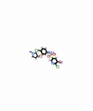 CN1CC[C@@H](Oc2cc(NS(=O)(=O)c3cnc(Cl)c(Br)c3)ccc2Cl)C1